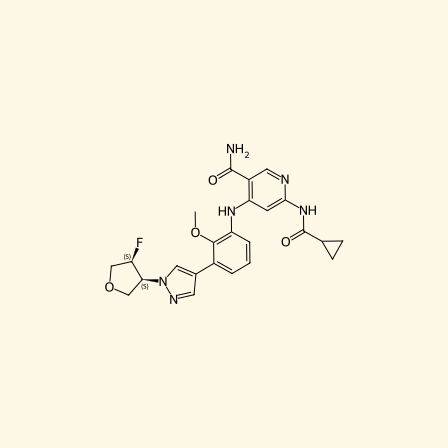 COc1c(Nc2cc(NC(=O)C3CC3)ncc2C(N)=O)cccc1-c1cnn([C@H]2COC[C@H]2F)c1